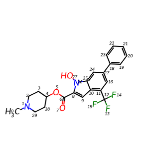 CN1CCC(OC(=O)c2cc3c(C(F)(F)F)cc(-c4ccccc4)cc3n2O)CC1